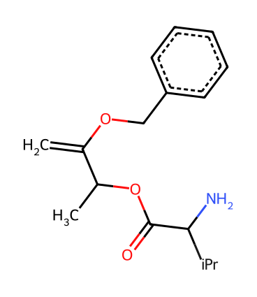 C=C(OCc1ccccc1)C(C)OC(=O)C(N)C(C)C